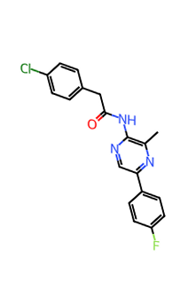 Cc1nc(-c2ccc(F)cc2)cnc1NC(=O)Cc1ccc(Cl)cc1